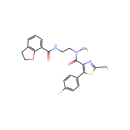 Cc1nc(C(=O)N(C)CCNC(=O)c2cccc3c2OCC3)c(-c2ccc(F)cc2)s1